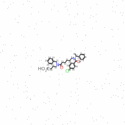 CC(c1ccccc1)N(CCCCCC(=O)N(CCCC(=O)O)Cc1ccccc1)C(=O)c1ccc(Cl)cc1